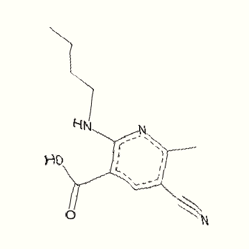 CCCCNc1nc(C)c(C#N)cc1C(=O)O